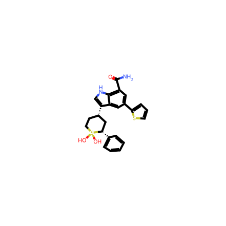 NC(=O)c1cc(-c2cccs2)cc2c([C@H]3CCS(O)(O)[C@@H](c4ccccc4)C3)c[nH]c12